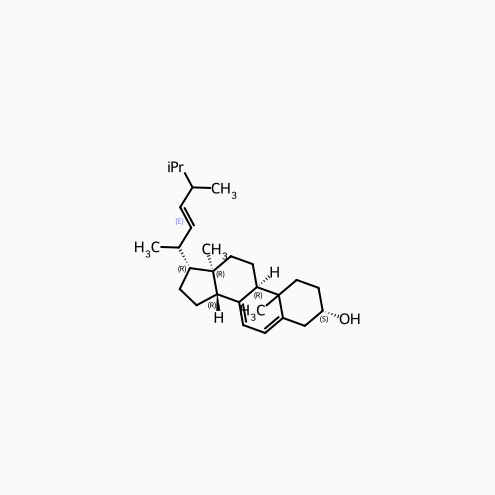 CC(C)C(C)/C=C/C(C)[C@H]1CC[C@H]2C3=CC=C4C[C@@H](O)CCC4(C)[C@@H]3CC[C@]12C